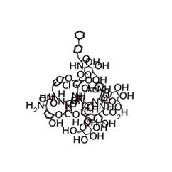 CC(=O)N[C@H]1C(O)[C@H](O)C(CO)O[C@H]1O[C@@H]1c2ccc(c(Cl)c2)Oc2cc3cc(c2O[C@@H]2OC(CO)[C@@H](O)[C@H](O)C2NC(=O)Cc2ccc(-c4ccccc4)cc2)Oc2ccc(cc2Cl)C[C@H]2NC(=O)[C@H](N)c4ccc(O)c(c4)Oc4cc(O)cc(c4)[C@H](NC2=O)C(=O)N[C@H]3C(=O)N[C@H]2C(=O)N[C@@H]1C(=O)N[C@H](C(=O)O)c1cc(O)cc(O[C@H]3OC(CO)[C@@H](O)[C@@H](O)C3O)c1-c1cc2ccc1O